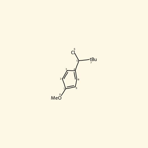 COc1ccc(C(Cl)C(C)(C)C)cc1